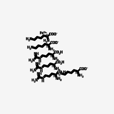 N=C(N)NCCC[C@H](N)C(=O)O.N=C(N)NCCC[C@H](N)C(=O)O.N=C(N)NCCC[C@H](N)C(=O)O.NCCCC[C@H](N)C(=O)[O-].NCCCC[C@H](N)C(=O)[O-].NCCCC[C@H](N)C(=O)[O-].[Fe+3]